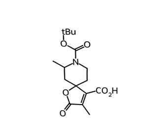 CC1=C(C(=O)O)C2(CCN(C(=O)OC(C)(C)C)C(C)C2)OC1=O